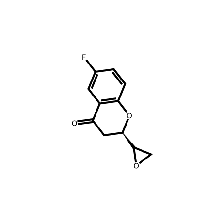 O=C1C[C@H](C2CO2)Oc2ccc(F)cc21